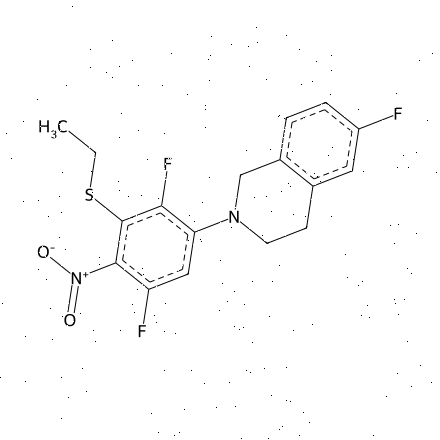 CCSc1c(F)c(N2CCc3cc(F)ccc3C2)cc(F)c1[N+](=O)[O-]